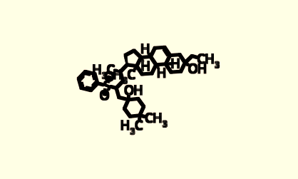 CC[C@]1(O)CC[C@H]2C(=CC[C@@H]3[C@@H]2CC[C@]2(C)[C@@H]([C@H](C)CC(CC4(O)CCC(C)(C)CC4)S(=O)(=O)c4ccccc4)CC[C@@H]32)C1